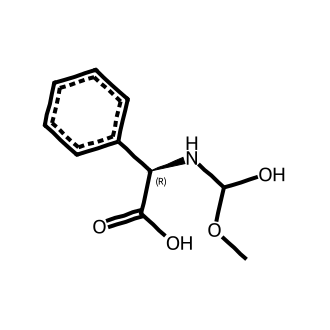 COC(O)N[C@@H](C(=O)O)c1ccccc1